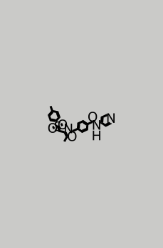 Cc1ccc(S(=O)(=O)Cc2nc(-c3ccc(C(=O)Nc4ccncc4)cc3)oc2C)cc1